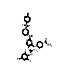 Cc1ccc(S(=O)(=O)N2CCC[C@@H](Nc3ncc(/N=C(\N)Nc4c(F)cc(Cl)cc4Cl)c(C[C@H]4CC[C@@H](C(N)=O)CC4)n3)C2)cc1